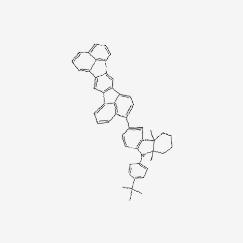 CC(C)(C)c1ccc(N2c3ccc(-c4ccc5c6cc7c(cc6c6cccc4c65)c4cccc5cccc7c54)cc3C3(C)CCCCC23C)cc1